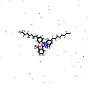 CCCCCCCCc1ccc(NC2(Nc3ccc(CCCCCCCC)cc3)OC(=O)c3ccccc32)cc1